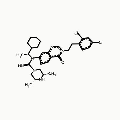 C[C@@H]1CN(C(=N)N(c2ccc3c(=O)n(CCc4ccc(Cl)cc4Cl)cnc3c2)[C@@H](C)C2CCCCC2)C[C@H](C)N1